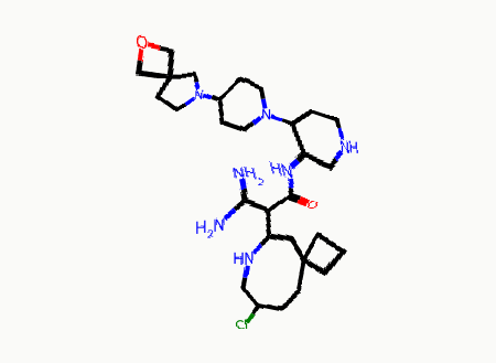 NC(N)C(C(=O)NC1CNCCC1N1CCC(N2CCC3(COC3)C2)CC1)C1CC2(CCC2)CCC(Cl)CN1